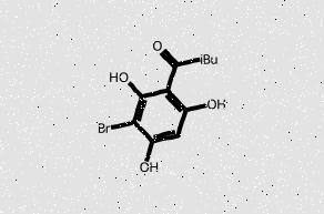 CCC(C)C(=O)c1c(O)cc(O)c(Br)c1O